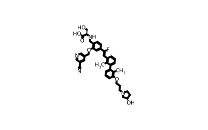 Cc1c(/C=C(\F)c2ccc(CN[C@H](CO)C(=O)O)c(OCc3cncc(C#N)c3)c2)cccc1-c1cccc(OCCCN2CC[C@@H](O)C2)c1C